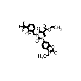 CCOC(=O)c1cn(-c2ccc3c(c2)oc(=O)n3CC)c(=O)n(Cc2cccc(C(F)(F)F)c2C)c1=O